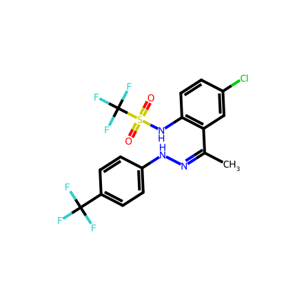 CC(=NNc1ccc(C(F)(F)F)cc1)c1cc(Cl)ccc1NS(=O)(=O)C(F)(F)F